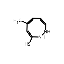 Cc1ccc[nH][nH]c(S)c1